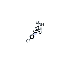 CCNC(=O)NS(=O)(=O)/C=C(\C)c1ccc(Cl)cc1